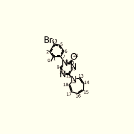 Cc1cc(Br)ccc1-n1cnc(N2C=CC=CC=C2)nc1=O